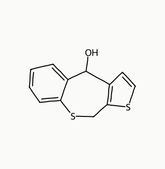 OC1c2ccccc2SCc2sccc21